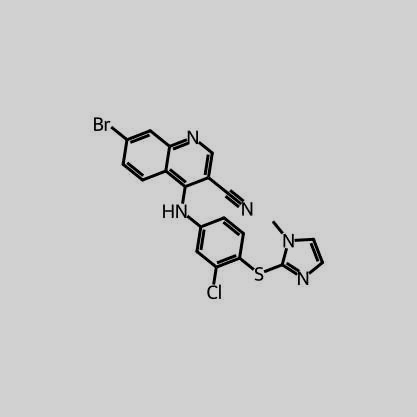 Cn1ccnc1Sc1ccc(Nc2c(C#N)cnc3cc(Br)ccc23)cc1Cl